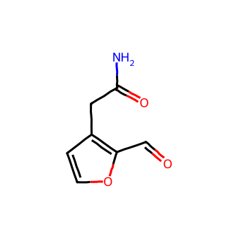 NC(=O)Cc1ccoc1C=O